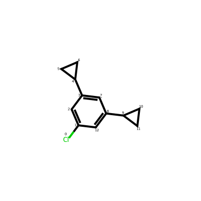 Clc1cc(C2CC2)[c]c(C2CC2)c1